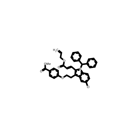 C=CCOC(=O)C=Cc1c(CCOc2ccc(C(=O)OC)cc2)c2cc(Cl)ccc2n1C(c1ccccc1)c1ccccc1